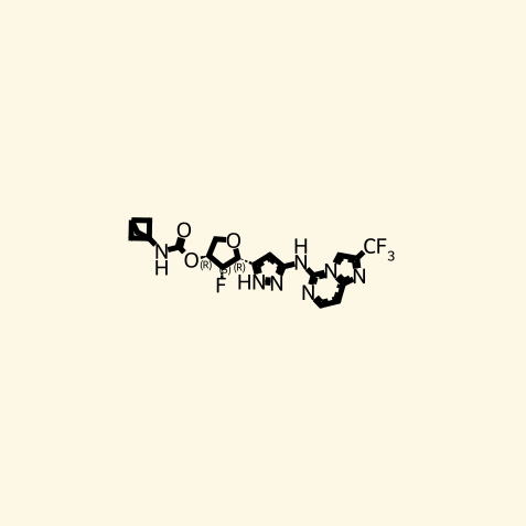 O=C(NC12CC(C1)C2)O[C@@H]1CO[C@H](c2cc(Nc3nccc4nc(C(F)(F)F)cn34)n[nH]2)[C@@H]1F